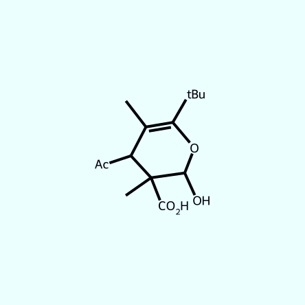 CC(=O)C1C(C)=C(C(C)(C)C)OC(O)C1(C)C(=O)O